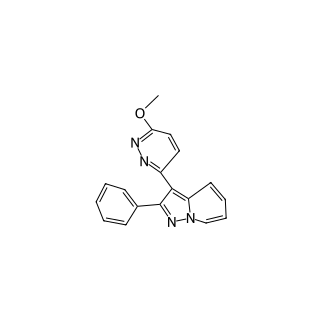 COc1ccc(-c2c(-c3ccccc3)nn3ccccc23)nn1